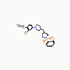 O=Cc1ccc(N2CCC(CC3CCN(S(=O)(=O)c4ccccc4F)CC3)CC2)cc1Cl